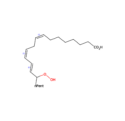 CCCCCC(/C=C/C=C\C/C=C\CCCCCCC(=O)O)OO